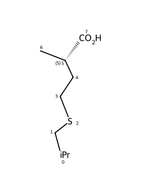 CC(C)CSCC[C@H](C)C(=O)O